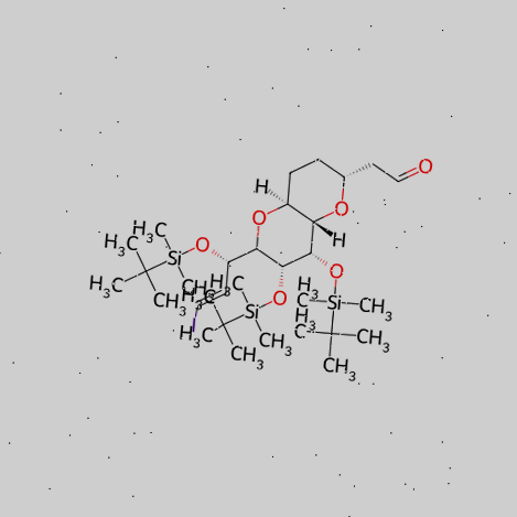 CC(C)(C)[Si](C)(C)O[C@H]1[C@H]2O[C@@H](CC=O)CC[C@@H]2OC([C@H](/C=C/I)O[Si](C)(C)C(C)(C)C)[C@H]1O[Si](C)(C)C(C)(C)C